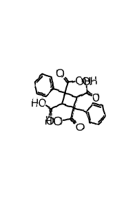 O=C(O)C1C(C(=O)O)(c2ccccc2)C(C(=O)O)C1(C(=O)O)c1ccccc1